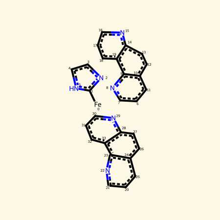 [Fe][c]1ncc[nH]1.c1cnc2c(c1)ccc1ncccc12.c1cnc2c(c1)ccc1ncccc12